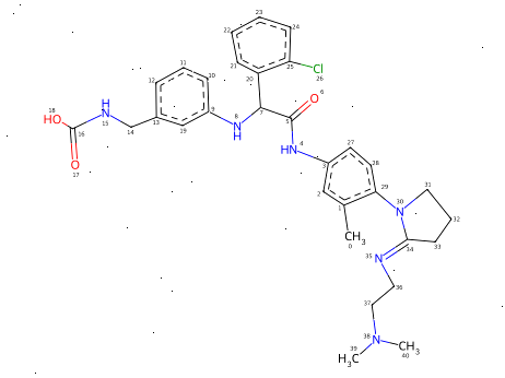 Cc1cc(NC(=O)C(Nc2cccc(CNC(=O)O)c2)c2ccccc2Cl)ccc1N1CCC/C1=N\CCN(C)C